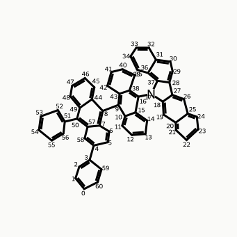 c1ccc(-c2ccc3c(-c4c5ccccc5c(-n5c6cc7ccccc7cc6c6ccc7ccccc7c65)c5ccccc45)c4ccccc4c(-c4ccccc4)c3c2)cc1